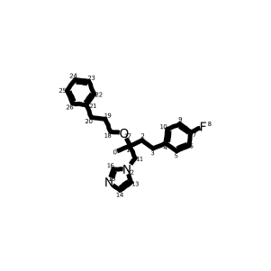 CC(CCc1ccc(F)cc1)(Cn1ccnc1)OCCCc1ccccc1